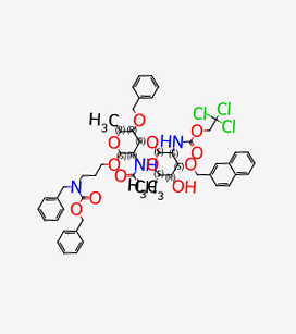 CC(=O)N[C@H]1[C@@H](OCCCN(Cc2ccccc2)C(=O)OCc2ccccc2)O[C@H](C)[C@@H](OCc2ccccc2)[C@@H]1O[C@@H]1O[C@@H](C)[C@@H](O)[C@@H](OCc2ccc3ccccc3c2)[C@@H]1NC(=O)OCC(Cl)(Cl)Cl